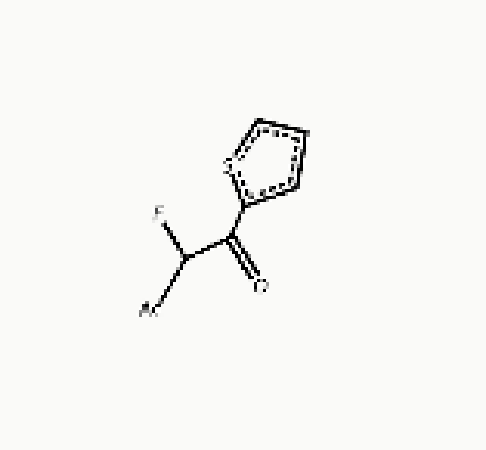 CC(=O)C(F)C(=O)c1cccs1